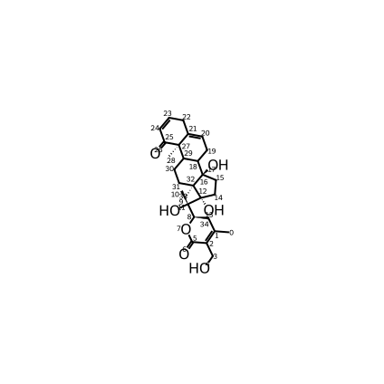 CC1=C(CO)C(=O)O[C@@H]([C@](C)(O)[C@]2(O)CC[C@@]3(O)C4CC=C5CC=CC(=O)[C@]5(C)C4CC[C@]23C)C1